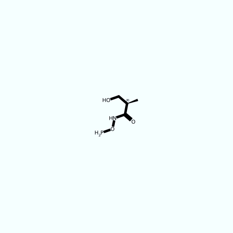 C[C@H](CO)C(=O)NOP